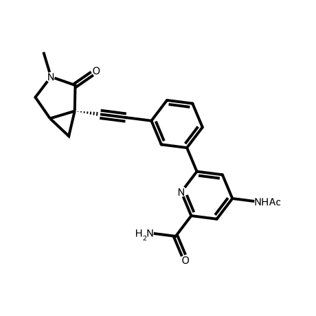 CC(=O)Nc1cc(C(N)=O)nc(-c2cccc(C#C[C@]34CC3CN(C)C4=O)c2)c1